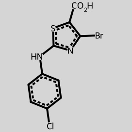 O=C(O)c1sc(Nc2ccc(Cl)cc2)nc1Br